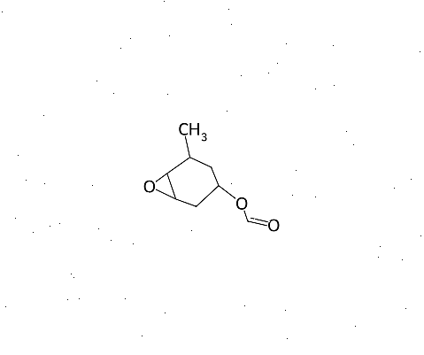 CC1CC(OC=O)CC2OC12